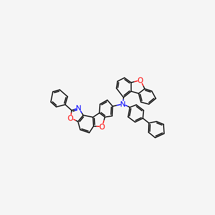 c1ccc(-c2ccc(N(c3ccc4c(c3)oc3ccc5oc(-c6ccccc6)nc5c34)c3cccc4oc5ccccc5c34)cc2)cc1